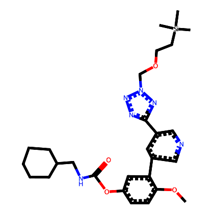 COc1ccc(OC(=O)NCC2CCCCC2)cc1-c1cncc(-c2nnn(COCC[Si](C)(C)C)n2)c1